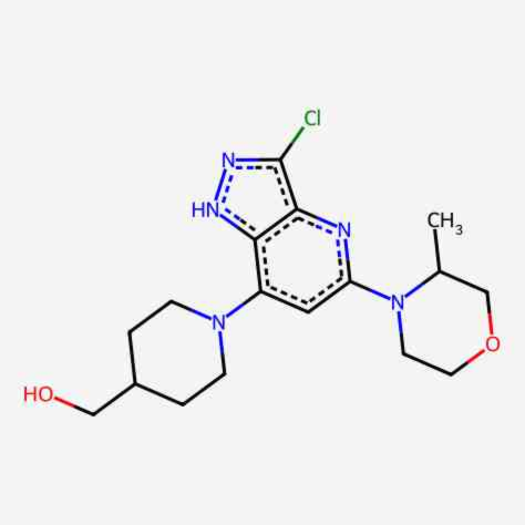 CC1COCCN1c1cc(N2CCC(CO)CC2)c2[nH]nc(Cl)c2n1